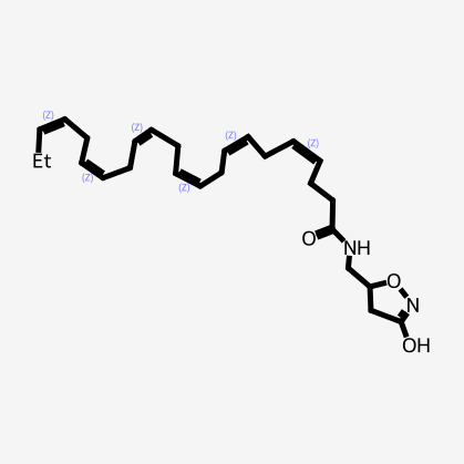 CC/C=C\C/C=C\C/C=C\C/C=C\C/C=C\C/C=C\CCC(=O)NCC1CC(O)=NO1